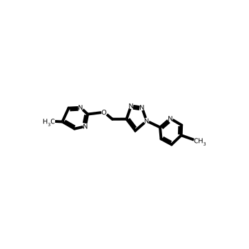 Cc1ccc(-n2cc(COc3ncc(C)cn3)nn2)nc1